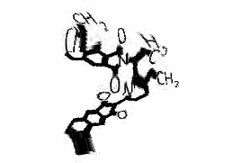 C=Cc1cc2c(cc1/C=C\C)C(=O)N(/C(=C/C)c1nc(C3C(=O)c4cc5ccccc5cc4C3=O)ccc1C=C)C2=O